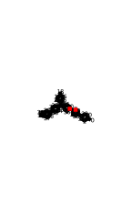 Cc1ccc(-c2ccc(-c3ccc(N(c4ccc(C)cc4)c4ccc(-c5ccc6c(c5)CC6)cc4)cc3)cc2)cc1